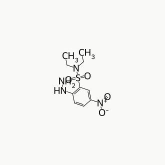 CCN(CC)S(=O)(=O)c1cc([N+](=O)[O-])ccc1NN